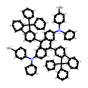 CC(C)(C)c1ccc(N(c2ccccc2)c2ccc3c(-c4ccc5c(c4)C(c4ccccc4)(c4ccccc4)c4ccccc4-5)c4cc(N(c5ccccc5)c5ccc(C(C)(C)C)cc5)ccc4c(-c4ccc5c(c4)C(c4ccccc4)(c4ccccc4)c4ccccc4-5)c3c2)cc1